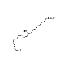 CC/C=C\C/C=C\C/C=C\C=C/C(O)CCCCCCCCC(=O)O